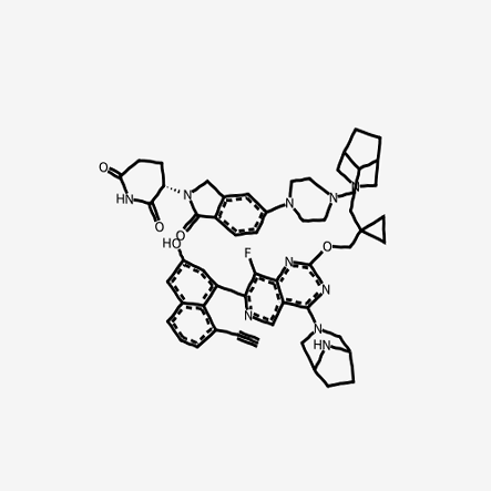 C#Cc1cccc2cc(O)cc(-c3ncc4c(N5CC6CCC(C5)N6)nc(OCC5(CN6CC7CCC(C6)C7CN6CCN(c7ccc8c(c7)CN([C@H]7CCC(=O)NC7=O)C8=O)CC6)CC5)nc4c3F)c12